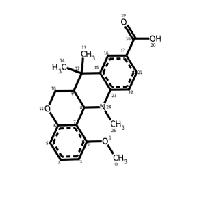 COc1cccc2c1C1C(CO2)C(C)(C)c2cc(C(=O)O)ccc2N1C